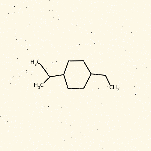 [CH2][CH]C1CCC(C(C)C)CC1